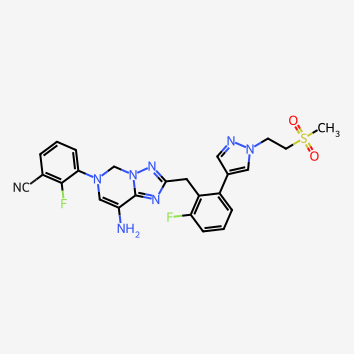 CS(=O)(=O)CCn1cc(-c2cccc(F)c2Cc2nc3n(n2)CN(c2cccc(C#N)c2F)C=C3N)cn1